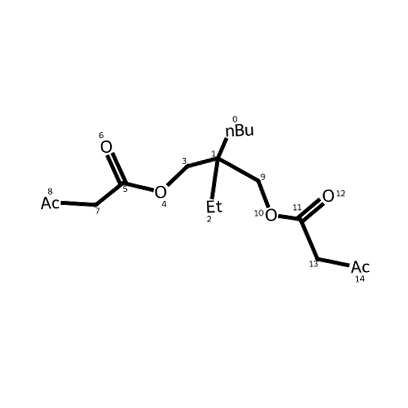 CCCCC(CC)(COC(=O)CC(C)=O)COC(=O)CC(C)=O